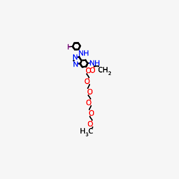 C=CC(=O)Nc1cc2c(Nc3cccc(I)c3)ncnc2cc1OCCOCCOCCOCCOCCOCC